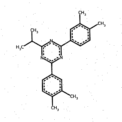 Cc1ccc(-c2nc(-c3ccc(C)c(C)c3)nc(C(C)C)n2)cc1C